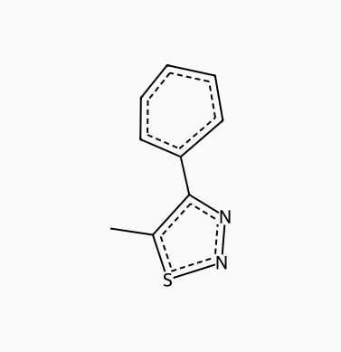 Cc1snnc1-c1ccccc1